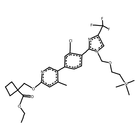 CCOC(=O)C1(COc2cc(C)c(-c3ccc(-c4nc(C(F)(F)F)cn4COCC[Si](C)(C)C)c(Cl)c3)cn2)CCC1